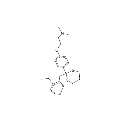 CCc1ccccc1CC1(c2ccc(OCCN(C)C)cc2)SCCCS1